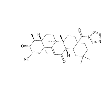 C[C@@H]1C(=O)C(C#N)=C[C@]2(C)C3=CC(=O)[C@H]4C5CC(C)(C)CC[C@]5(C(=O)n5ccnc5)CC[C@@]4(C)[C@]3(C)CC[C@@H]12